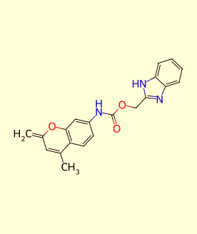 C=C1C=C(C)c2ccc(NC(=O)OCc3nc4ccccc4[nH]3)cc2O1